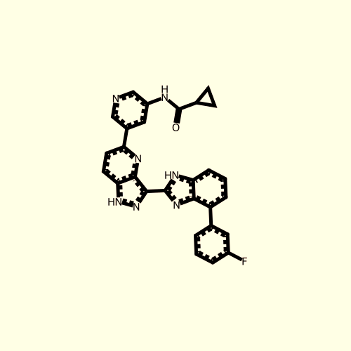 O=C(Nc1cncc(-c2ccc3[nH]nc(-c4nc5c(-c6cccc(F)c6)cccc5[nH]4)c3n2)c1)C1CC1